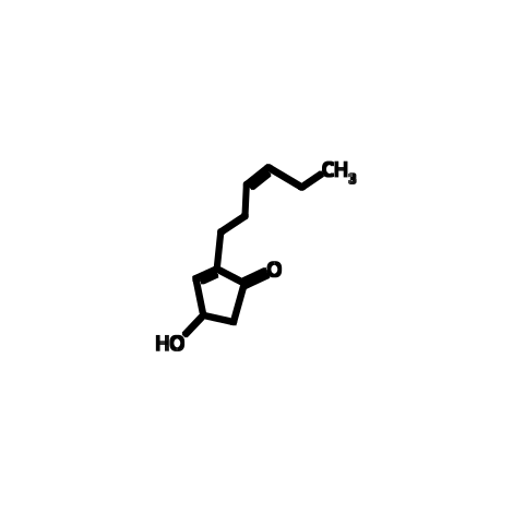 CC/C=C\CCC1=CC(O)CC1=O